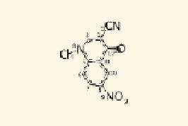 N#Cc1cn(Cl)c2ccc([N+](=O)[O-])cc2c1=O